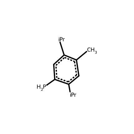 Cc1cc(C(C)C)c(P)cc1C(C)C